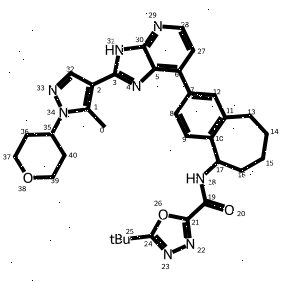 Cc1c(-c2nc3c(-c4ccc5c(c4)CCCCC5NC(=O)c4nnc(C(C)(C)C)o4)ccnc3[nH]2)cnn1C1CCOCC1